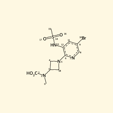 CN(C(=O)O)C1CN(c2ncc(Br)cc2NS(C)(=O)=O)C1